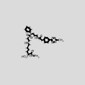 Cc1nnc(-c2ccc(CC(=O)NCCCN(c3ccccc3)S(=O)(=O)CCNCCCCC(C(=O)O)C(=O)NP)cc2)nn1